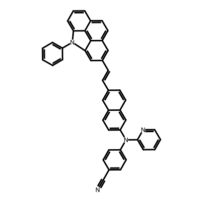 N#Cc1ccc(N(c2ccc3cc(/C=C/c4cc5ccc6cccc7c6c5c(c4)n7-c4ccccc4)ccc3c2)c2ccccn2)cc1